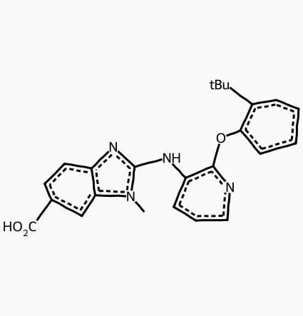 Cn1c(Nc2cccnc2Oc2ccccc2C(C)(C)C)nc2ccc(C(=O)O)cc21